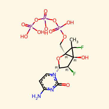 CC1(F)[C@]2(COP(=O)(O)OP(=O)(O)OP(=O)(O)O)O[C@@H](n3ccc(N)nc3=O)[C@H](F)[C@@]12O